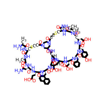 C[C@H](N)C(=O)N[C@H]1CSCCC(=O)N2CCN3CC(O)(C2)NC[C@@H]2NC(=O)[C@H](NC(=O)[C@H](Cc4cccc5ccccc45)NC(=O)[C@H](CCC(=O)O)NC(=O)[C@H](CC(N)=O)NC(=O)[C@@H](C)NC1=O)C(C(=O)O)C[C@H](NC2=O)C(=O)N[C@@H](CC(=O)O)C(=O)N[C@@H](Cc1ccccc1)C(=O)N[C@@H](Cc1ccc(O)cc1)C(=O)N[C@@H](CC(=O)O)CC(=O)N[C@@H](C(C)(C)C)C(=O)N[C@H](C(N)=O)CSCCC3=O